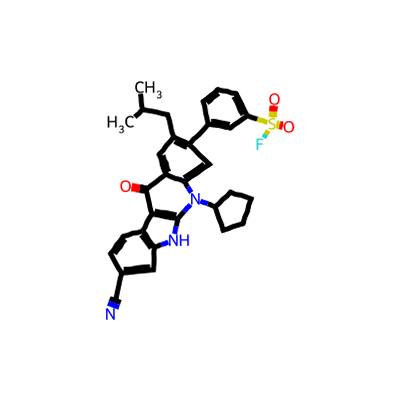 CC(C)Cc1cc2c(=O)c3c4ccc(C#N)cc4[nH]c3n(C3CCCC3)c2cc1-c1cccc(S(=O)(=O)F)c1